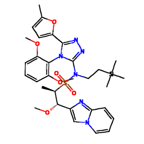 COc1cccc(OC)c1-n1c(-c2ccc(C)o2)nnc1N(CC[Si](C)(C)C)S(=O)(=O)[C@H](C)[C@@H](OC)c1cn2ccccc2n1